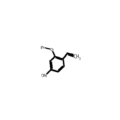 C=Cc1ccc(N=O)cc1OC(C)C